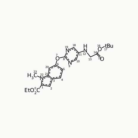 CCOC(=O)c1cc2ccc(Oc3ncc(NCC(=O)OC(C)(C)C)cn3)cc2n1C